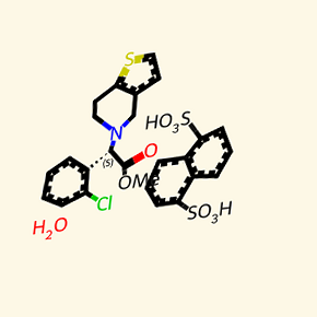 COC(=O)[C@H](c1ccccc1Cl)N1CCc2sccc2C1.O.O=S(=O)(O)c1cccc2c(S(=O)(=O)O)cccc12